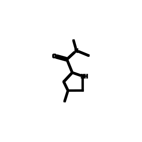 CC1CNC(C(=O)N(C)C)C1